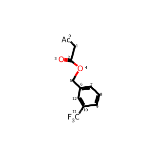 CC(=O)CC(=O)OCc1cccc(C(F)(F)F)c1